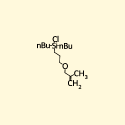 C=C(C)COCCC[Si](Cl)(CCCC)CCCC